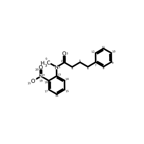 CN(C(=O)CCCc1ccccc1)c1ccccc1[N+](=O)[O-]